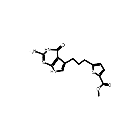 COC(=O)c1ccc(CCCc2c[nH]c3nc(N)[nH]c(=O)c23)s1